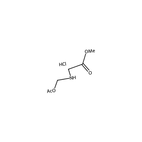 COC(=O)CNCOC(C)=O.Cl